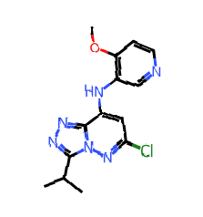 COc1ccncc1Nc1cc(Cl)nn2c(C(C)C)nnc12